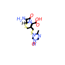 CC1N=C[NH+]([O-])CN1SCC1=C(C(=O)O)N2C(=O)[C@@H](N)[C@H]2SC1